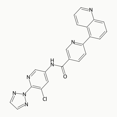 O=C(Nc1cnc(-n2nccn2)c(Cl)c1)c1ccc(-c2cccc3ncccc23)nc1